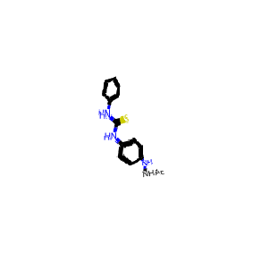 CC(=O)NNc1ccc(NC(=S)Nc2ccccc2)cc1